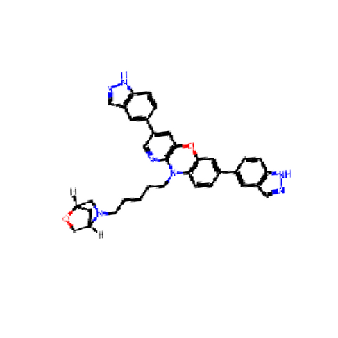 c1cc2c(cc1-c1ccc3[nH]ncc3c1)Oc1cc(-c3ccc4[nH]ncc4c3)cnc1N2CCCCCN1C[C@@H]2C[C@H]1CO2